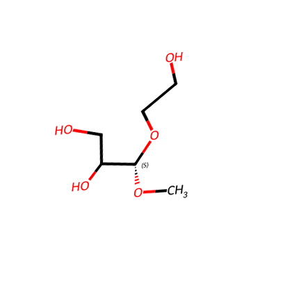 CO[C@@H](OCCO)C(O)CO